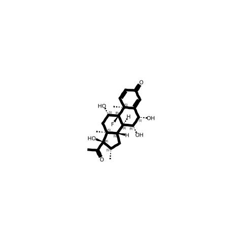 CC(=O)[C@@]1(O)[C@@H](C)C[C@H]2[C@@H]3[C@@H](O)[C@@H](O)C4=CC(=O)C=C[C@]4(C)[C@@]3(F)[C@@H](O)C[C@@]21C